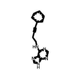 C(#Cc1ccccc1)CCNc1ncnc2[nH]cnc12